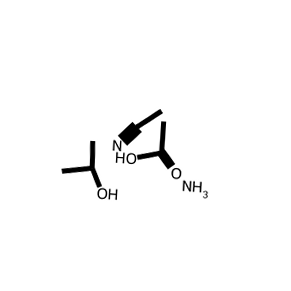 CC#N.CC(=O)O.CC(C)O.N